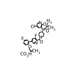 C[C@@H](COc1ccc(F)cc1-c1cnc(C(=O)N2CCC(N3C(=O)C(C)(C)Oc4ncc(Cl)cc43)CC2)c(F)c1)C(=O)O